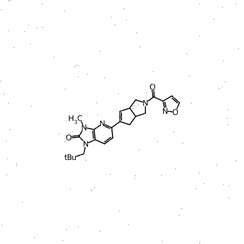 Cn1c(=O)n(CC(C)(C)C)c2ccc(C3=CC4CN(C(=O)c5ccon5)CC4C3)nc21